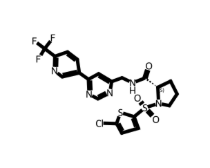 O=C(NCc1cc(-c2ccc(C(F)(F)F)nc2)ncn1)[C@@H]1CCCN1S(=O)(=O)c1ccc(Cl)s1